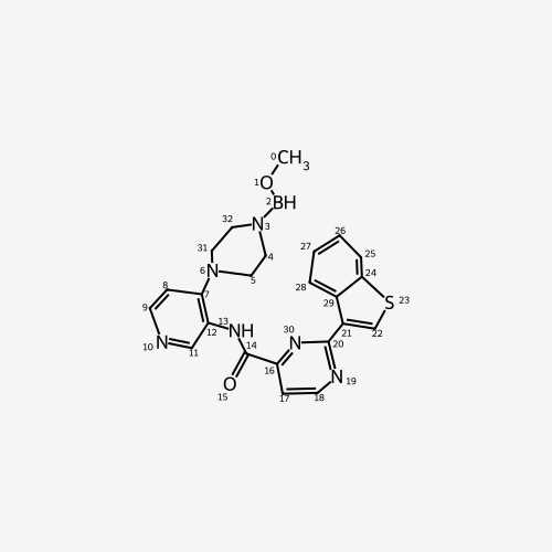 COBN1CCN(c2ccncc2NC(=O)c2ccnc(-c3csc4ccccc34)n2)CC1